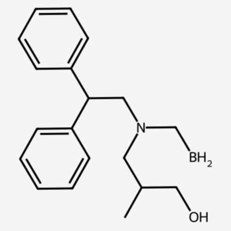 BCN(CC(C)CO)CC(c1ccccc1)c1ccccc1